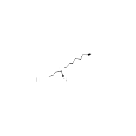 C#CCCCCCCOC(C#N)CCCC